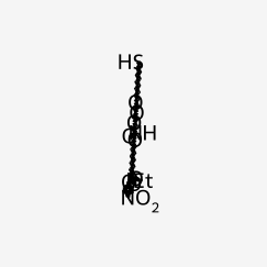 CCOP(=O)(CCCCCCCCCCCOC(=O)NCCOCCOCCOCCCCCCCCCCCS)Oc1ccc([N+](=O)[O-])cc1